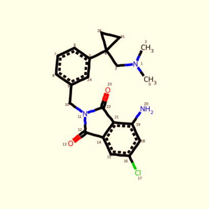 CN(C)CC1(c2cccc(CN3C(=O)c4cc(Cl)cc(N)c4C3=O)c2)CC1